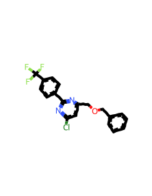 FC(F)(F)c1ccc(-c2nc(Cl)cc(COCc3ccccc3)n2)cc1